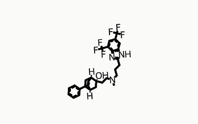 CN(CCCc1nc2c(C(F)(F)F)cc(C(F)(F)F)cc2[nH]1)CC[C@@]1(O)C[C@@H]2CC[C@H]1C=C2c1ccccc1